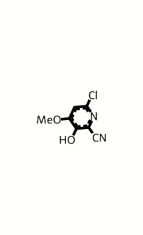 COc1cc(Cl)nc(C#N)c1O